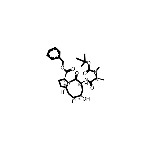 C[C@H]1C[C@H]2CC[C@@H](C(=O)OCc3ccccc3)N2C(=O)[C@@H](NC(=O)[C@H](C)N(C)C(=O)OC(C)(C)C)C[C@@H]1O